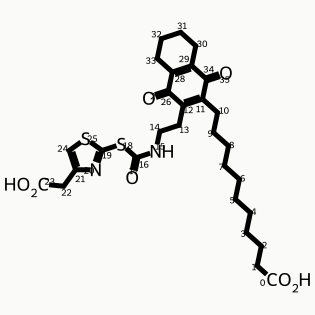 O=C(O)CCCCCCCCCCC1=C(CCNC(=O)Sc2nc(CC(=O)O)cs2)C(=O)C2=C(CCCC2)C1=O